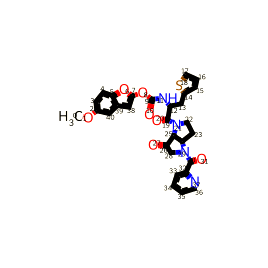 COc1ccc2oc(OC(=O)NC(Cc3cccs3)C(=O)N3CCC4C3C(=O)CN4C(=O)c3ccccn3)cc2c1